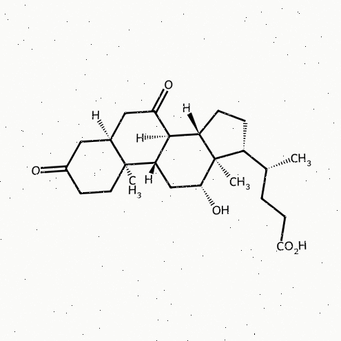 C[C@H](CCC(=O)O)[C@H]1CC[C@H]2[C@@H]3C(=O)C[C@@H]4CC(=O)CC[C@]4(C)[C@H]3C[C@@H](O)[C@]12C